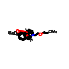 COCCOCCN1CCC23CC(=O)CC[C@H]2[C@H]1Cc1ccc(OC)cc13